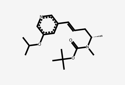 CC(C)Oc1cncc(/C=C/C[C@H](C)N(C)C(=O)OC(C)(C)C)c1